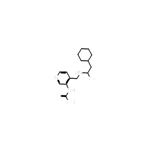 CC(CC1CCCCC1)NCc1ccncc1NC(=O)O